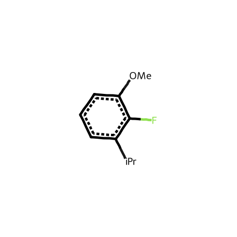 [CH2]C(C)c1cccc(OC)c1F